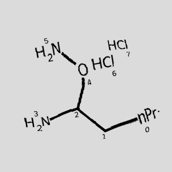 CC[CH]CC(N)ON.Cl.Cl